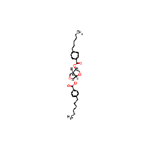 CCCCCCc1ccc(C(=O)O[C@@H]2OC[C@H]3[C@@H]2OC[C@@H]3OC(=O)c2ccc(CCCCCC)cc2)cc1